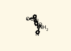 COCCOc1ccccc1-n1cc2ccc(N(CCc3ccncc3)C(N)=O)cc2n1